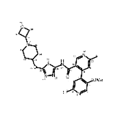 COc1cnc(Cl)cc1-c1cc(C)ncc1C(=O)Nc1nnc(OC2CCN(C3COC3)CC2)s1